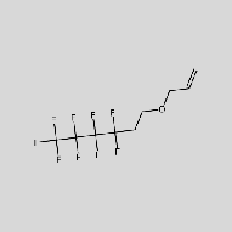 C=CCOCCC(F)(F)C(F)(F)C(F)(F)C(F)(F)F